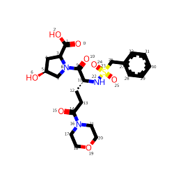 O=C(O)C1C[C@H](O)CN1C(=O)[C@@H](CCC(=O)N1CCOCC1)NS(=O)(=O)Cc1ccccc1